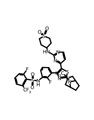 CN1CC2CCC(C1)N2c1nc(-c2cccc(NS(=O)(=O)c3c(F)cccc3C(F)(F)F)c2F)c(-c2ccnc(NC3CCS(=O)(=O)CC3)n2)s1